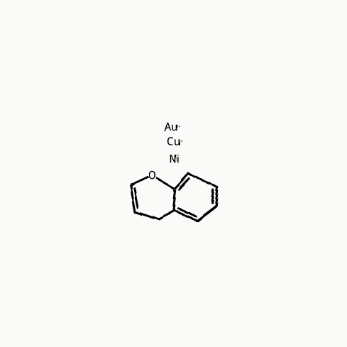 C1=COc2ccccc2C1.[Au].[Cu].[Ni]